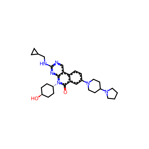 O=c1c2cc(N3CCC(N4CCCC4)CC3)ccc2c2cnc(NCC3CC3)nc2n1[C@H]1CC[C@H](O)CC1